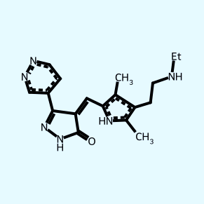 CCNCCc1c(C)[nH]c(C=C2C(=O)NN=C2c2ccnnc2)c1C